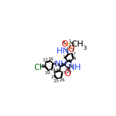 CCS(=O)(=O)Nc1ccc2c(c1)C(=C(Nc1ccc(Cl)cc1)c1ccccc1)C(=O)N2